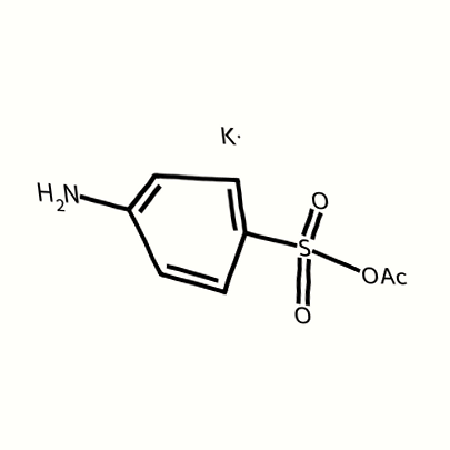 CC(=O)OS(=O)(=O)c1ccc(N)cc1.[K]